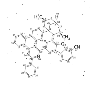 C[C@@H]1C[C@@H]2C[C@H](C)CC(c3ccc(-c4ccccc4-c4nc(-c5ccccc5)nc(-c5ccc6oc7c(C#N)cccc7c6c5)n4)cc3)(C1)C2